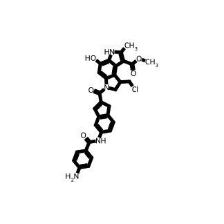 COC(=O)c1c(C)[nH]c2c(O)cc3c(c12)C(CCl)CN3C(=O)C1=Cc2cc(NC(=O)c3ccc(N)cc3)ccc2C1